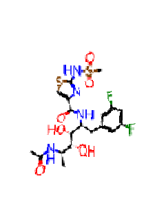 CC(=O)N[C@H](C)[C@@H](O)[C@H](O)[C@H](Cc1cc(F)cc(F)c1)NC(=O)c1csc(NS(C)(=O)=O)n1